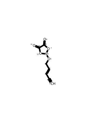 C#CC=CCOn1oc(=O)c(=O)o1